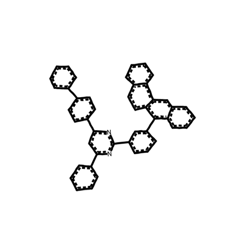 c1ccc(-c2ccc(-c3cc(-c4ccccc4)nc(-c4cccc(-c5c6ccccc6cc6c5ccc5ccccc56)c4)n3)cc2)cc1